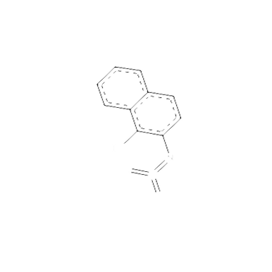 O=S(=O)=Nc1ccc2ccccc2c1O